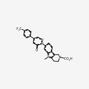 Cn1c2c(c3ccc(-n4ncc(-c5ccc(C(F)(F)F)cc5)cc4=O)cc31)CN(C(=O)O)CC2